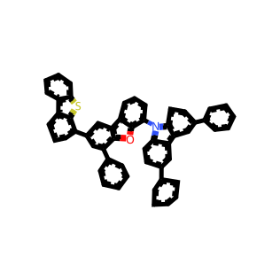 c1ccc(-c2ccc3c(c2)c2cc(-c4ccccc4)ccc2n3-c2cccc3c2oc2c(-c4ccccc4)cc(-c4cccc5c4sc4ccccc45)cc23)cc1